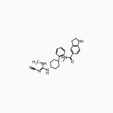 CN/C(=N\C#N)N[C@H]1CC[C@](CNC(=O)c2ccc3c(c2)CCN3)(c2ccccc2)CC1